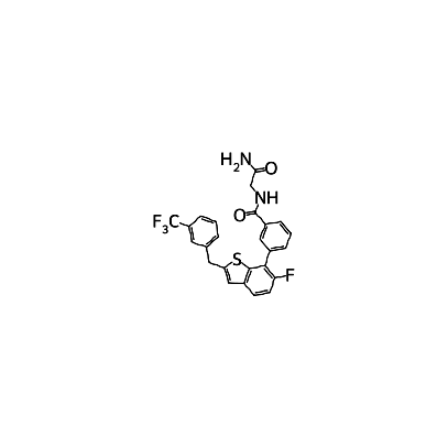 NC(=O)CNC(=O)c1cccc(-c2c(F)ccc3cc(Cc4cccc(C(F)(F)F)c4)sc23)c1